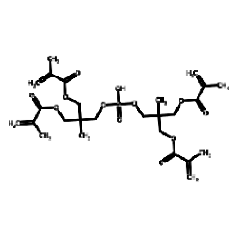 C=C(C)C(=O)OCC(C)(COC(=O)C(=C)C)COP(=O)(O)OCC(C)(COC(=O)C(=C)C)COC(=O)C(=C)C